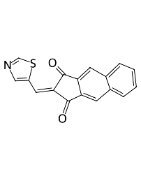 O=C1C(=Cc2cncs2)C(=O)c2cc3ccccc3cc21